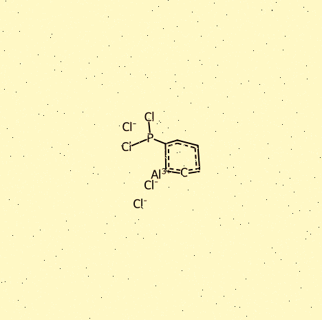 ClP(Cl)c1ccccc1.[Al+3].[Cl-].[Cl-].[Cl-]